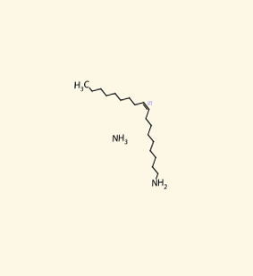 CCCCCCCC/C=C\CCCCCCCCN.N